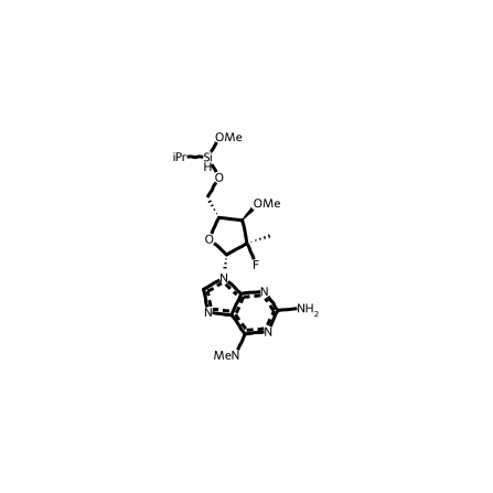 CNc1nc(N)nc2c1ncn2[C@@H]1O[C@H](CO[SiH](OC)C(C)C)[C@@H](OC)[C@@]1(C)F